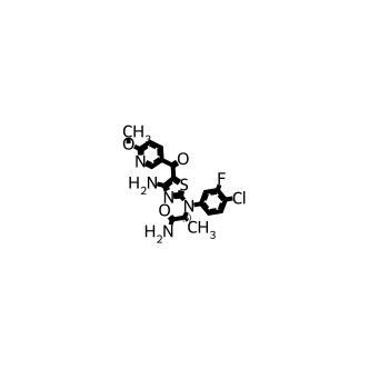 COc1ccc(C(=O)c2sc(N(c3ccc(Cl)c(F)c3)[C@@H](C)C(N)=O)nc2N)cn1